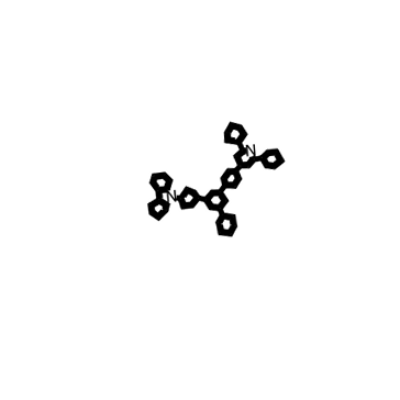 c1ccc(-c2cc(-c3ccc(-c4cc(-c5ccccc5)nc(-c5ccccc5)c4)cc3)cc(-c3ccc(-n4c5ccccc5c5ccccc54)cc3)c2)cc1